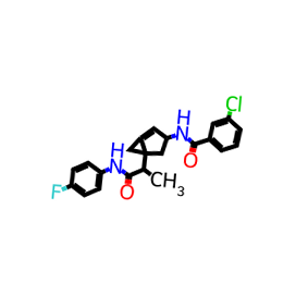 CC(C(=O)Nc1ccc(F)cc1)C12CC1=CC(NC(=O)c1cccc(Cl)c1)C2